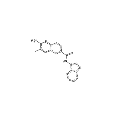 Cc1cc2cc(C(=O)Nn3cnc4cccnc43)ccc2nc1N